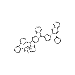 CC1(C)c2ccccc2-c2cccc(-n3c4ccccc4c4cc5c(cc43)c3ccccc3n5-c3cccc(-c4nc5ccccc5nc4-c4ccccc4)c3)c21